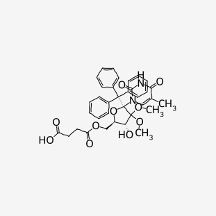 COC1(OC)[C@H](O)[C@@H](COC(=O)CCC(=O)O)O[C@]1(n1cc(C)c(=O)[nH]c1=O)C(c1ccccc1)(c1ccccc1)c1ccccc1